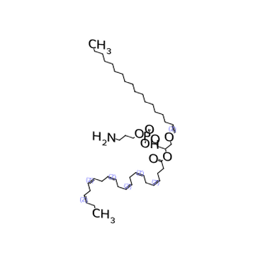 CC/C=C\C/C=C\C/C=C\C/C=C\C/C=C\C/C=C\CCC(=O)OC(CO/C=C\CCCCCCCCCCCCCCCC)COP(=O)(O)OCCCN